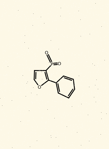 O=P(=O)c1ccoc1-c1ccccc1